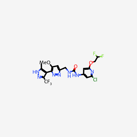 COc1cc(CNC(=O)Nc2cc(Cl)nc(OCC(F)F)c2)nnc1-c1c(C(F)(F)F)n[nH]c1C